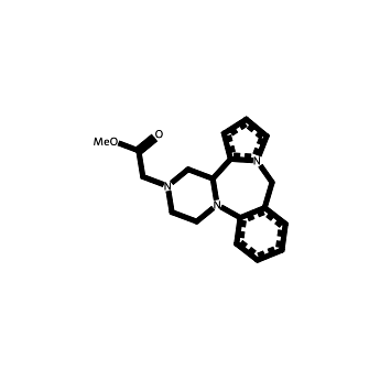 COC(=O)CN1CCN2c3ccccc3Cn3cccc3C2C1